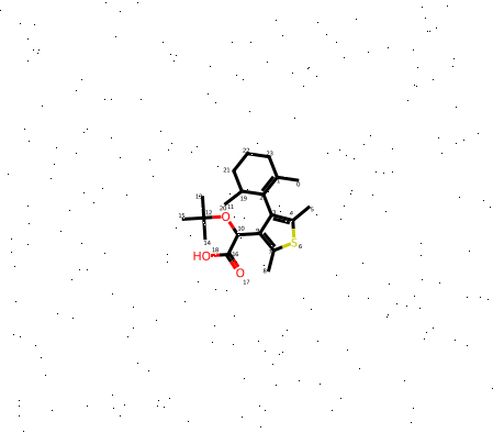 CC1=C(c2c(C)sc(C)c2C(OC(C)(C)C)C(=O)O)C(C)CCC1